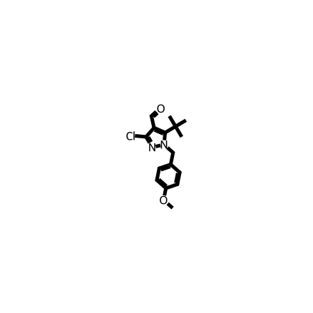 COc1ccc(Cn2nc(Cl)c(C=O)c2C(C)(C)C)cc1